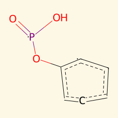 O=[P](O)Oc1[c]cccc1